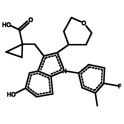 Cc1cc(-n2c(C3CCOCC3)c(CC3(C(=O)O)CC3)c3cc(O)ccc32)ccc1F